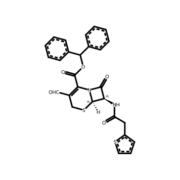 O=CC1=C(C(=O)OC(c2ccccc2)c2ccccc2)N2C(=O)[C@@H](NC(=O)Cc3cccs3)[C@H]2SC1